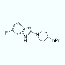 CCC[C]1CCN(c2cc3ccc(F)cc3[nH]2)CC1